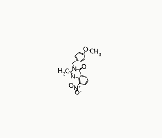 COc1ccc(Cn2c(C)nc3c([N+](=O)[O-])cccc3c2=O)cc1